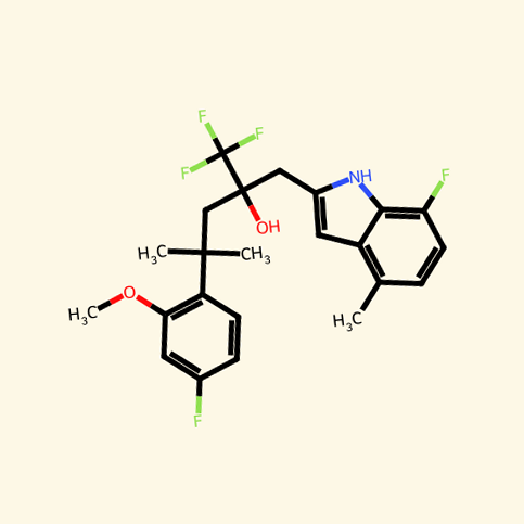 COc1cc(F)ccc1C(C)(C)CC(O)(Cc1cc2c(C)ccc(F)c2[nH]1)C(F)(F)F